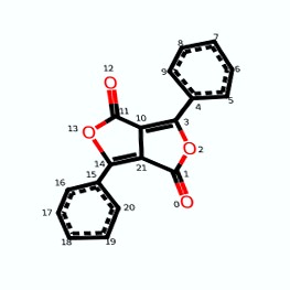 O=C1OC(c2ccccc2)=C2C(=O)OC(c3ccccc3)=C12